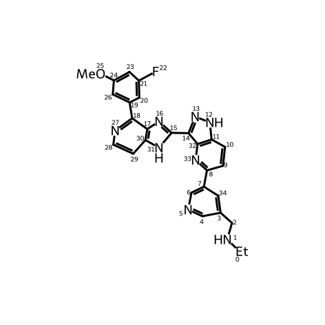 CCNCc1cncc(-c2ccc3[nH]nc(-c4nc5c(-c6cc(F)cc(OC)c6)nccc5[nH]4)c3n2)c1